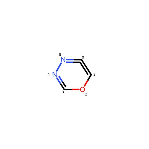 C1=COC=NN=1